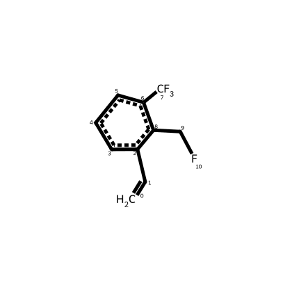 C=Cc1cccc(C(F)(F)F)c1CF